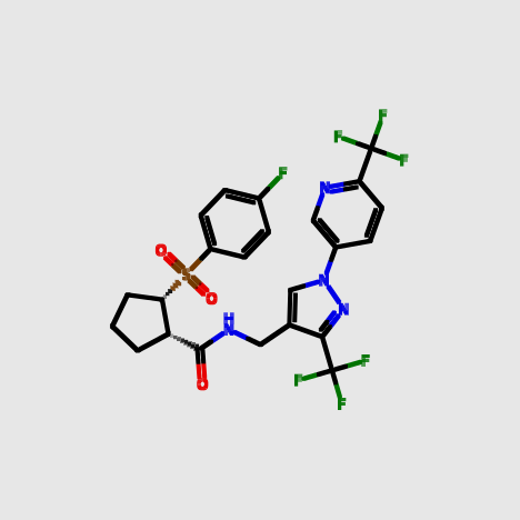 O=C(NCc1cn(-c2ccc(C(F)(F)F)nc2)nc1C(F)(F)F)[C@@H]1CCC[C@@H]1S(=O)(=O)c1ccc(F)cc1